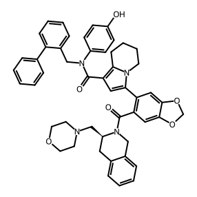 O=C(c1cc(-c2cc3c(cc2C(=O)N2Cc4ccccc4C[C@H]2CN2CCOCC2)OCO3)n2c1CCCC2)N(Cc1ccccc1-c1ccccc1)c1ccc(O)cc1